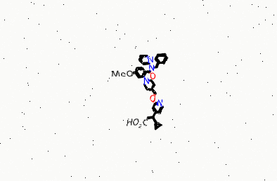 COc1ccc(C(=O)N(Cc2ccccc2)c2ccccn2)c(N2CCC(COc3cc(C(CC(=O)O)C4CC4)ccn3)CC2)c1